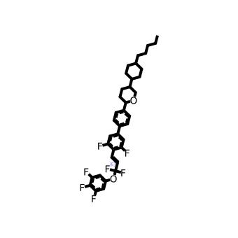 CCCCCC1CCC(C2CCC(c3ccc(-c4cc(F)c(/C=C/C(F)(F)Oc5cc(F)c(F)c(F)c5)c(F)c4)cc3)OC2)CC1